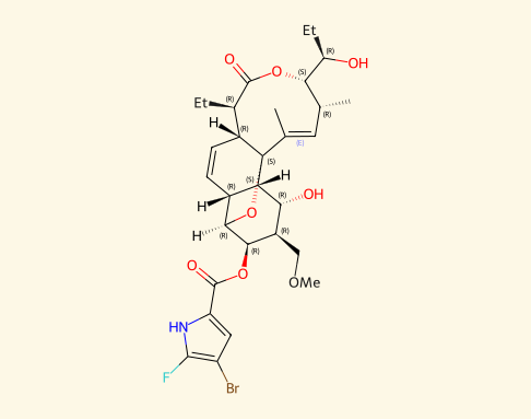 CC[C@@H](O)[C@H]1OC(=O)[C@H](CC)[C@H]2C=C[C@H]3[C@H]4O[C@]2(/C(C)=C/[C@H]1C)[C@@H]3[C@H](O)[C@@H](COC)[C@H]4OC(=O)c1cc(Br)c(F)[nH]1